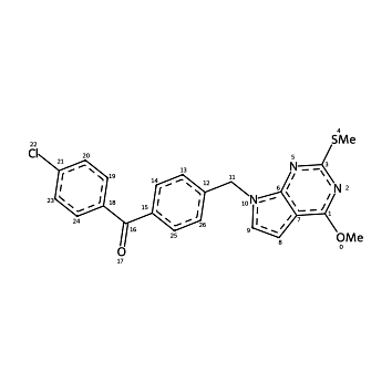 COc1nc(SC)nc2c1ccn2Cc1ccc(C(=O)c2ccc(Cl)cc2)cc1